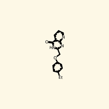 CCc1ccc(OCc2nc3ncccc3c(=O)[nH]2)cc1